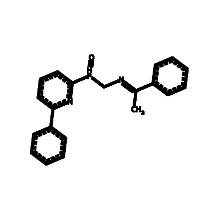 C/C(=N\C[PH](=O)c1cccc(-c2ccccc2)n1)c1ccccc1